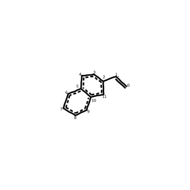 C=[C]c1ccc2ccccc2c1